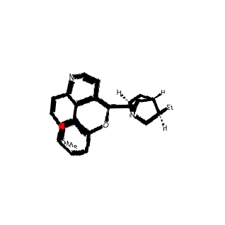 CC[C@H]1CN2CC[C@H]1C[C@@H]2[C@@H](Oc1ccccc1)c1ccnc2ccc(OC)cc12